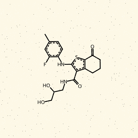 Cc1ccc(Nc2sc3c(c2C(=O)NCC(O)CO)CCCC3=O)c(F)c1